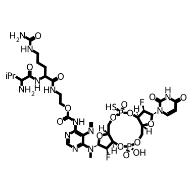 C=Nc1c(NC(=O)OCCNC(=O)C(CCCNC(N)=O)NC(=O)C(N)C(C)C)ncnc1N(C)[C@@H]1O[C@@H]2COP(=O)(S)O[C@H]3[C@@H](F)[C@H](n4ccc(=O)[nH]c4=O)O[C@@H]3COP(=O)(O)O[C@H]2[C@H]1F